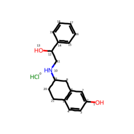 Cl.Oc1ccc2c(c1)CC(NCC(O)c1ccccc1)CC2